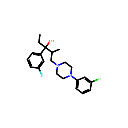 CCC(O)(c1cccc(F)c1)C(C)CN1CCN(c2cccc(Cl)c2)CC1